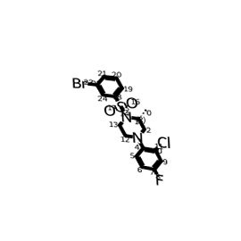 C[C@@H]1CN(c2ccc(F)cc2Cl)CCN1S(=O)(=O)c1cccc(Br)c1